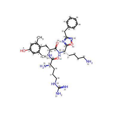 Cc1cc(O)cc(C)c1C[C@H](NC(=O)[C@H](N)CCCNC(=N)N)C(=O)N[C@@H](CCCCN)c1nc(Cc2ccccc2)no1